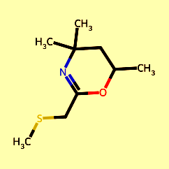 CSCC1=NC(C)(C)CC(C)O1